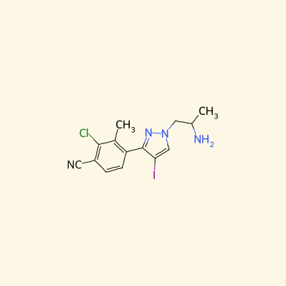 Cc1c(-c2nn(CC(C)N)cc2I)ccc(C#N)c1Cl